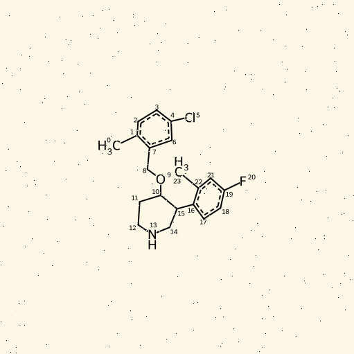 Cc1ccc(Cl)cc1COC1CCNCC1c1ccc(F)cc1C